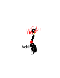 CC[C@H]1CC[C@H]2[C@@H]3CC=C4CC(OCCCCCCS[C@@H]5O[C@H](CO)[C@@H](O)[C@H](O)[C@@H]5O)CC(NC(C)=O)[C@]4(C)[C@H]3CC[C@]12C